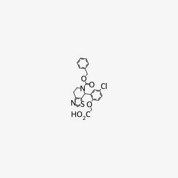 O=C(O)COc1ccc(Cl)cc1C1c2scnc2CCN1C(=O)OCc1ccccc1